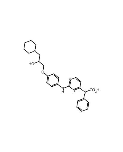 O=C(O)N(c1ccccc1)c1ccnc(Nc2ccc(OCC(O)CN3CCCCC3)cc2)n1